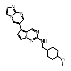 COC1CCC(CNc2ncc3c(-c4cnc5nccn5c4)ccn3n2)CC1